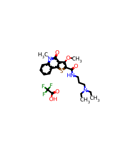 CCN(CC)CCCNC(=O)c1sc2c(c1OC)c(=O)n(C)c1ccccc21.O=C(O)C(F)(F)F